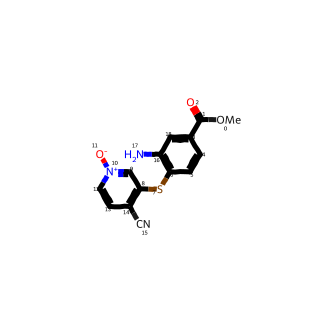 COC(=O)c1ccc(Sc2c[n+]([O-])ccc2C#N)c(N)c1